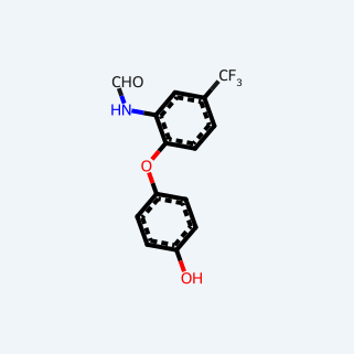 O=CNc1cc(C(F)(F)F)ccc1Oc1ccc(O)cc1